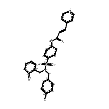 O=C(/C=C/c1ccncc1)Nc1ccc(S(=O)(=O)N(Cc2ccc(F)cc2)Cc2ccccc2C(F)(F)F)cc1